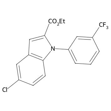 CCOC(=O)c1cc2cc(Cl)ccc2n1-c1cccc(C(F)(F)F)c1